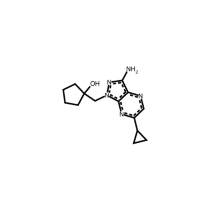 Nc1nn(CC2(O)CCCC2)c2nc(C3CC3)cnc12